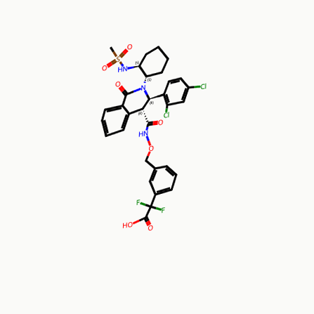 CS(=O)(=O)N[C@H]1CCCC[C@@H]1N1C(=O)c2ccccc2[C@@H](C(=O)NOCc2cccc(C(F)(F)C(=O)O)c2)[C@@H]1c1ccc(Cl)cc1Cl